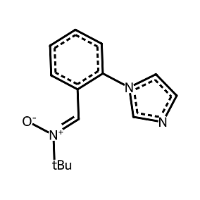 CC(C)(C)[N+]([O-])=Cc1ccccc1-n1ccnc1